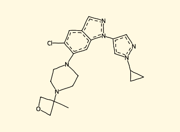 CC1(N2CCN(c3cc4c(cnn4-c4cnn(C5CC5)c4)cc3Cl)CC2)COC1